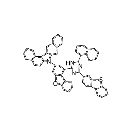 c1ccc2cc3c(cc2c1)c1c2ccccc2ccc1n3-c1cc(C2=NC(c3ccc4c(c3)sc3ccccc34)=NC(c3cccc4ccccc34)N2)c2c(c1)oc1ccccc12